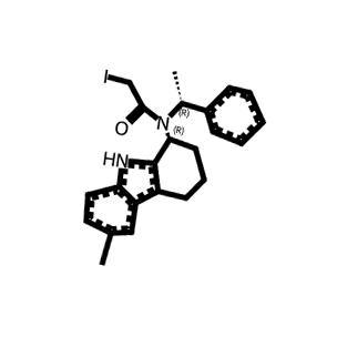 Cc1ccc2[nH]c3c(c2c1)CCC[C@H]3N(C(=O)CI)[C@H](C)c1ccccc1